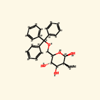 CC(=O)N[C@H]1C(O)[C@H](O)C(COC(c2ccccc2)(c2ccccc2)c2ccccc2)O[C@H]1O